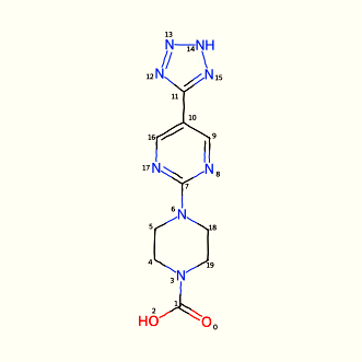 O=C(O)N1CCN(c2ncc(-c3nn[nH]n3)cn2)CC1